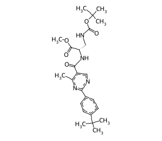 COC(=O)[C@H](CNC(=O)OC(C)(C)C)NC(=O)c1cnc(-c2ccc(C(C)(C)C)cc2)nc1C